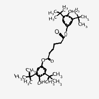 CC(C)(C)c1cc(OC(=O)CCCCC(=O)Oc2cc(C(C)(C)C)c(O)c(C(C)(C)C)c2)cc(C(C)(C)C)c1O